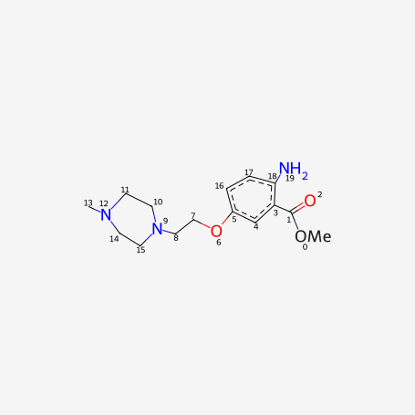 COC(=O)c1cc(OCCN2CCN(C)CC2)ccc1N